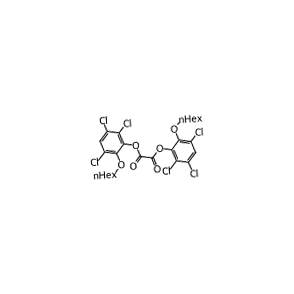 CCCCCCOc1c(Cl)cc(Cl)c(Cl)c1OC(=O)C(=O)Oc1c(Cl)c(Cl)cc(Cl)c1OCCCCCC